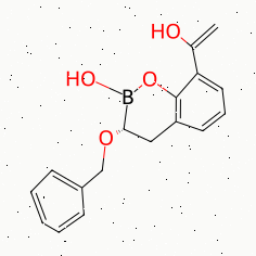 C=C(O)c1cccc2c1OB(O)[C@@H](OCc1ccccc1)C2